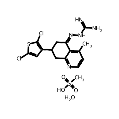 CS(=O)(=O)O.Cc1ccnc2c1/C(=N\NC(=N)N)CC(c1cc(Cl)sc1Cl)C2.O